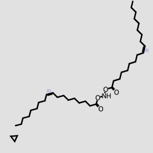 C1CC1.CCCCCCCC/C=C\CCCCCCCC(=O)ONOC(=O)CCCCCCC/C=C\CCCCCCCC